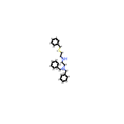 c1ccc(CSCCNCCN(Cc2ccccc2)Cc2ccccc2)cc1